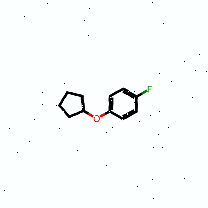 Fc1ccc(OC2C[CH]CC2)cc1